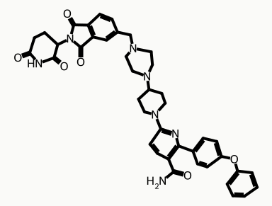 NC(=O)c1ccc(N2CCC(N3CCN(Cc4ccc5c(c4)C(=O)N(C4CCC(=O)NC4=O)C5=O)CC3)CC2)nc1-c1ccc(Oc2ccccc2)cc1